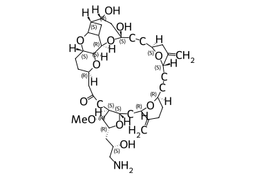 C=C1C[C@@H]2CC[C@@]3(O)C[C@@H](O)[C@@H]4CC5C4O[C@H]4CC[C@H](CC(=O)C[C@@H]6[C@@H](OC)[C@@H](C[C@H](O)CN)O[C@H]6C[C@H]6O[C@H](CCC6=C)CC[C@@H]1O2)O[C@@H]4[C@@H]5O3